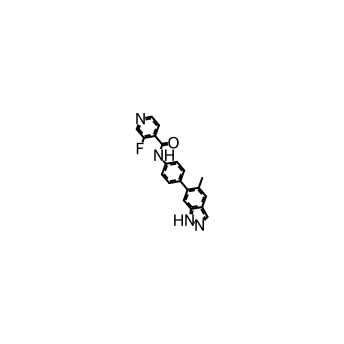 Cc1cc2cn[nH]c2cc1-c1ccc(NC(=O)c2ccncc2F)cc1